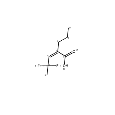 CCCC(=CC(C)(F)F)C(=O)O